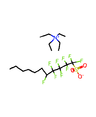 CCCCCCC(F)C(F)(F)C(F)(F)C(F)(F)C(F)(F)S(=O)(=O)[O-].CC[N+](CC)(CC)CC